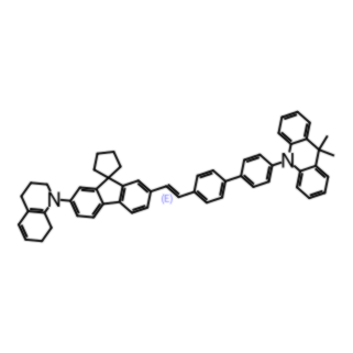 CC1(C)c2ccccc2N(c2ccc(-c3ccc(/C=C/c4ccc5c(c4)C4(CCCC4)c4cc(N6CCCC7=C6CCC=C7)ccc4-5)cc3)cc2)c2ccccc21